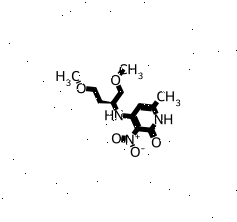 COCC[C@@H](COC)Nc1cc(C)[nH]c(=O)c1[N+](=O)[O-]